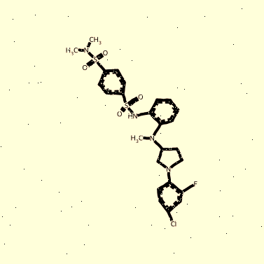 CN(c1ccccc1NS(=O)(=O)c1ccc(S(=O)(=O)N(C)C)cc1)C1CCN(c2ccc(Cl)cc2F)C1